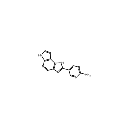 Nc1ncc(-c2nc3cnc4[nH]ccc4c3[nH]2)cn1